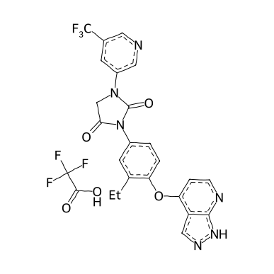 CCc1cc(N2C(=O)CN(c3cncc(C(F)(F)F)c3)C2=O)ccc1Oc1ccnc2[nH]ncc12.O=C(O)C(F)(F)F